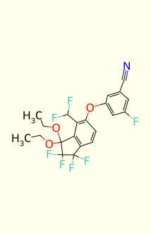 CCOC1(OCC)c2c(ccc(Oc3cc(F)cc(C#N)c3)c2C(F)F)C(F)(F)C1(F)F